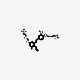 C=CCc1c(C)cc(OCOCC[Si](C)(C)C)cc1/C=C/c1ccc(OCOCC[Si](C)(C)C)c(OC)c1